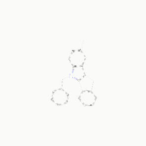 Cc1ccc2c(c1)c1c(n2Cc2ccccc2)-c2ccccc2C1